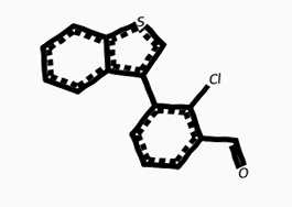 O=Cc1cccc(-c2csc3ccccc23)c1Cl